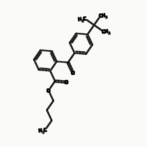 CCCCOC(=O)c1ccccc1C(=O)c1ccc(C(C)(C)C)cc1